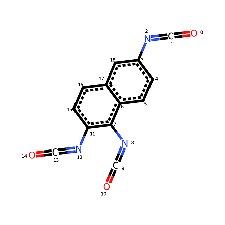 O=C=Nc1ccc2c(N=C=O)c(N=C=O)ccc2c1